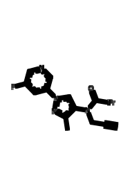 C#CCN(C(=O)C(C)C)c1cn(-c2cncc(F)c2)nc1C